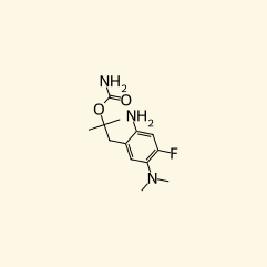 CN(C)c1cc(CC(C)(C)OC(N)=O)c(N)cc1F